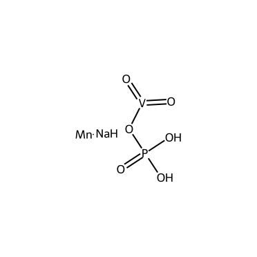 [Mn].[NaH].[O]=[V](=[O])[O]P(=O)(O)O